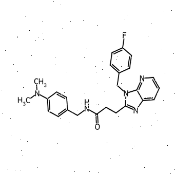 CN(C)c1ccc(CNC(=O)CCc2nc3cccnc3n2Cc2ccc(F)cc2)cc1